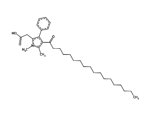 CCCCCCCCCCCCCCCCCC(=O)c1c(-c2ccccc2)c(CC(=O)O)n(C)c1C